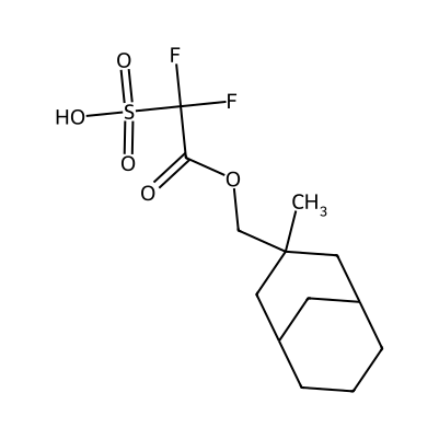 CC1(COC(=O)C(F)(F)S(=O)(=O)O)CC2CCCC(C2)C1